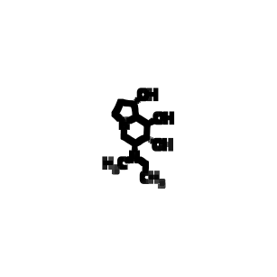 CCN(C)[C@H]1CN2CC[C@H](O)C2[C@@H](O)[C@@H]1O